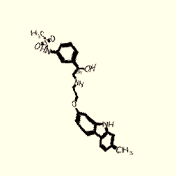 Cc1ccc2c(c1)[nH]c1cc(OCCNC[C@H](O)c3cccc(NS(C)(=O)=O)c3)ccc12